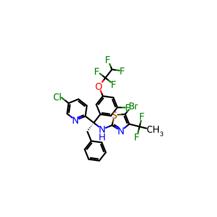 CC(F)(F)c1nc(N[C@](Cc2ccccc2)(c2cc(F)cc(OC(F)(F)C(F)F)c2)c2ccc(Cl)cn2)sc1Br